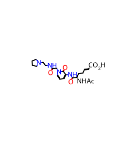 CC(=O)NC(CCC=CC(=O)O)C(=O)Nc1cccn(CC(=O)NCCN2CCCC2)c1=O